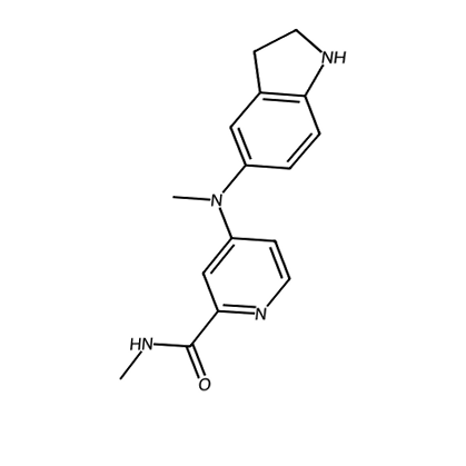 CNC(=O)c1cc(N(C)c2ccc3c(c2)CCN3)ccn1